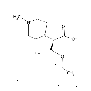 CCOC[C@H](C(=O)O)N1CCN(C)CC1.[LiH]